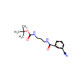 CC(C)(C)OC(=O)NCCCNC(=O)c1cccc(C#N)c1